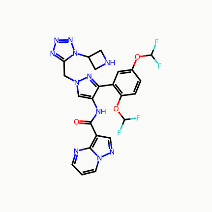 O=C(Nc1cn(Cc2nnnn2C2CNC2)nc1-c1cc(OC(F)F)ccc1OC(F)F)c1cnn2cccnc12